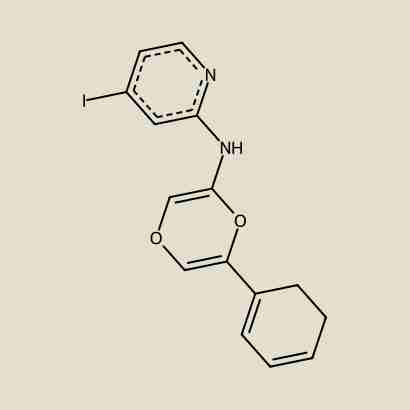 Ic1ccnc(NC2=COC=C(C3=CC=CCC3)O2)c1